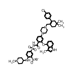 Cc1c[nH]c2cccc(Oc3cc(N4CCN(CC5=C(c6ccc(Cl)cc6)CC(C)(C)CC5)CC4)ccc3C(=O)NS(=O)(=O)c3ccc(NC4CCN(C)CC4)c([N+](=O)[O-])c3)c12